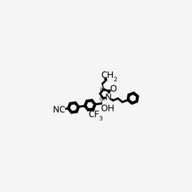 C=CC[C@@H]1C[C@@H](C(O)c2ccc(-c3ccc(C#N)cc3)cc2C(F)(F)F)N(CCCc2ccccc2)C1=O